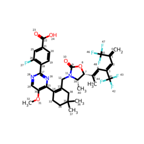 C=C(/C=C(\C=C(/C)[C@H]1OC(=O)N(CC2=C(c3nc(-c4ccc(C(=O)O)cc4F)ncc3OC)CCC(C)(C)C2)[C@H]1C)C(F)(F)F)C(F)(F)F